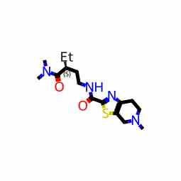 CC[C@@H](CCNC(=O)c1nc2c(s1)CN(C)CC2)C(=O)N(C)C